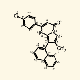 Cc1nn2c(=O)cc(-c3ccc(Cl)cc3)[nH]c2c1-c1cccc2ccccc12